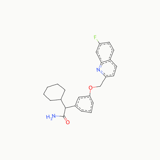 NC(=O)C(c1cccc(OCc2ccc3ccc(F)cc3n2)c1)C1CCCCC1